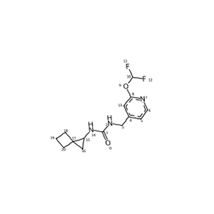 O=C(NCc1ccnc(OC(F)F)c1)NC1CC12CCC2